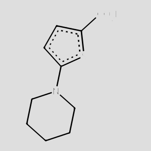 CCOC(=O)c1ccc(N2CCCCC2)s1